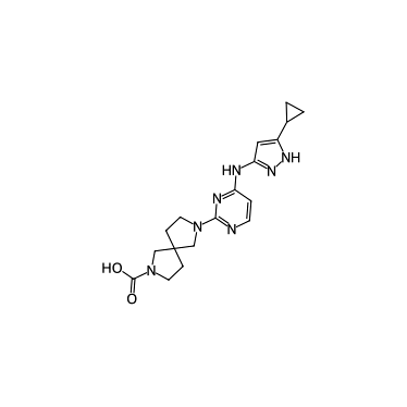 O=C(O)N1CCC2(CCN(c3nccc(Nc4cc(C5CC5)[nH]n4)n3)C2)C1